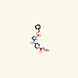 CC(C)(C)OC(=O)N1CCC(NC2CCN(C(=O)OCc3ccccc3)C2)CC1